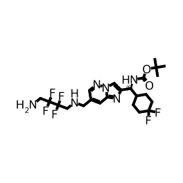 CC(C)(C)OC(=O)N[C@H](c1cn2ncc(CNCC(F)(F)C(F)(F)CN)cc2n1)C1CCC(F)(F)CC1